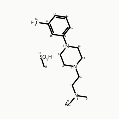 CC(=O)N(C)CCN1CCN(c2cccc(C(F)(F)F)c2)CC1.CS(=O)(=O)O